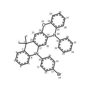 CC1(C)c2ccccc2N(c2ccc(Br)cc2)c2cc3c(cc21)Oc1ccccc1N3c1ccccc1